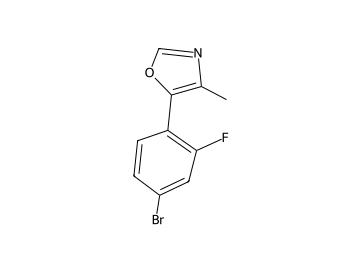 Cc1ncoc1-c1ccc(Br)cc1F